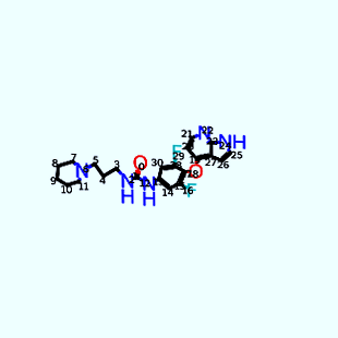 O=C(NCCCN1CCCCC1)Nc1cc(F)c(Oc2ccnc3[nH]ccc23)c(F)c1